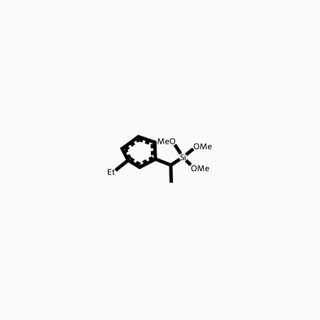 CCc1cccc(C(C)[Si](OC)(OC)OC)c1